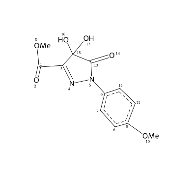 COC(=O)C1=NN(c2ccc(OC)cc2)C(=O)C1(O)O